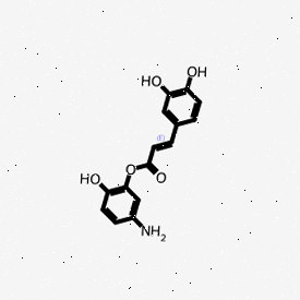 Nc1ccc(O)c(OC(=O)/C=C/c2ccc(O)c(O)c2)c1